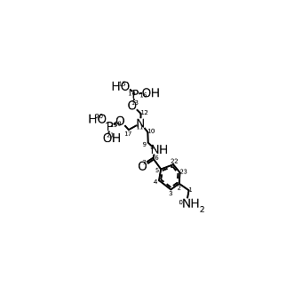 NCc1ccc(C(=O)NCCN(COP(O)O)COP(O)O)cc1